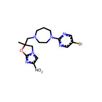 CC1(CN2CCCN(c3ncc(Br)cn3)CC2)Cn2cc([N+](=O)[O-])nc2O1